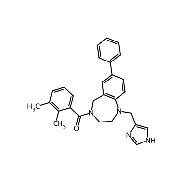 Cc1cccc(C(=O)N2CCN(Cc3c[nH]cn3)c3ccc(-c4ccccc4)cc3C2)c1C